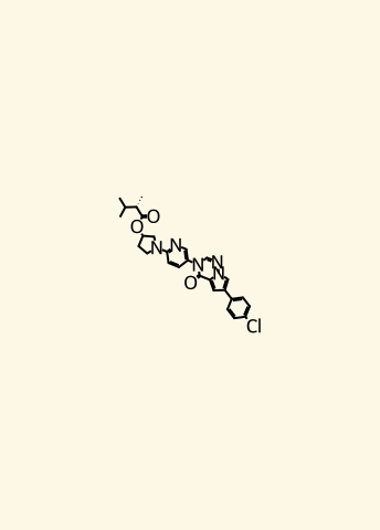 CC(C)[C@H](C)C(=O)O[C@@H]1CCN(c2ccc(-n3cnn4cc(-c5ccc(Cl)cc5)cc4c3=O)cn2)C1